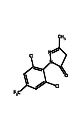 CC1=NN(c2c(Cl)cc(C(F)(F)F)cc2Cl)C(=O)C1